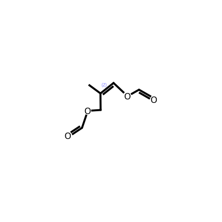 C/C(=C/OC=O)COC=O